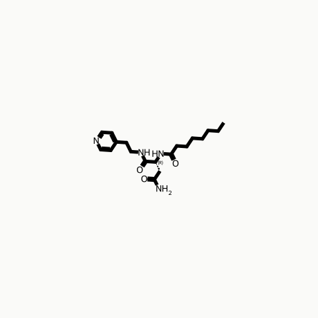 CCCCCCCC(=O)N[C@H](CC(N)=O)C(=O)NCCc1ccncc1